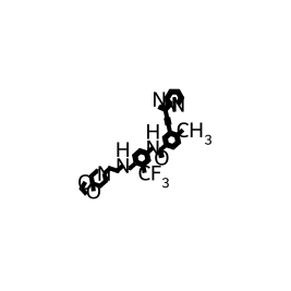 Cc1ccc(C(=O)Nc2ccc(CNCCN3CCC4(CC3)OCCO4)c(C(F)(F)F)c2)cc1C#Cc1cnc2cccnn12